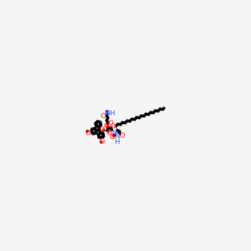 CCCCCCCCCCCCCCCCCCCCCCO[C@H]1C(OC(=O)CCC(=O)NC)[C@@H](COC(c2ccccc2)(c2ccc(OC)cc2)c2ccc(OC)cc2)O[C@H]1n1ccc(=O)[nH]c1=O